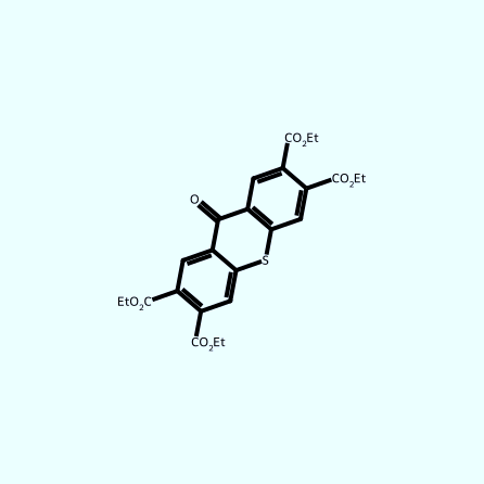 CCOC(=O)c1cc2sc3cc(C(=O)OCC)c(C(=O)OCC)cc3c(=O)c2cc1C(=O)OCC